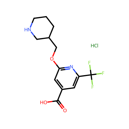 Cl.O=C(O)c1cc(OCC2CCCNC2)nc(C(F)(F)F)c1